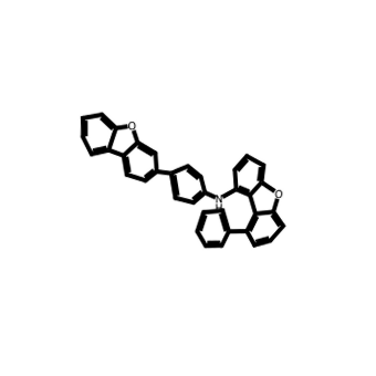 c1ccc(-c2cccc3oc4cccc(Nc5ccc(-c6ccc7c(c6)oc6ccccc67)cc5)c4c23)cc1